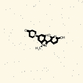 Cn1nc(-c2ccc(O)nc2O)c2ccc(N3CCC(=O)CC3)cc21